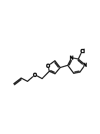 C=CCOCc1cc(-c2ccnc(Cl)n2)co1